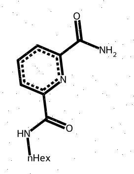 CCCCCCNC(=O)c1cccc(C(N)=O)n1